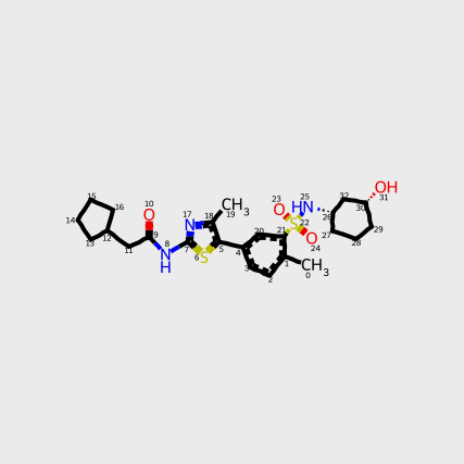 Cc1ccc(-c2sc(NC(=O)CC3CCCC3)nc2C)cc1S(=O)(=O)N[C@H]1CCC[C@@H](O)C1